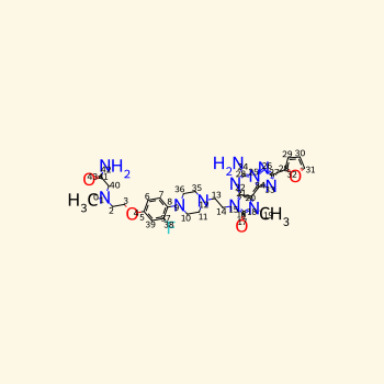 CN(CCOc1ccc(N2CCN(CCn3c(=O)n(C)c4c3nc(N)n3nc(-c5ccco5)nc43)CC2)c(F)c1)CC(N)=O